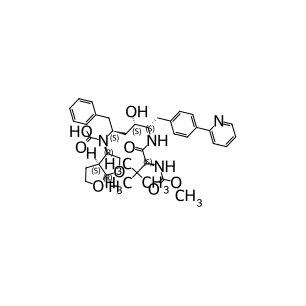 COC(=O)N[C@H](C(=O)N[C@@H](Cc1ccc(-c2ccccn2)cc1)[C@@H](O)C[C@H](Cc1ccccc1)N(C(=O)O)[C@H]1CO[C@H]2OCC[C@H]21)C(C)(C)C